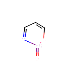 O=[PH]1N=CC=CO1